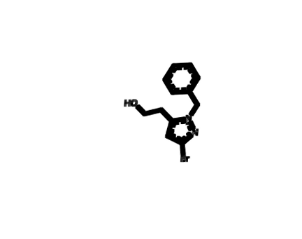 OCCc1cc(Br)nn1Cc1ccccc1